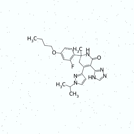 CCCCOc1ccc(C2(C)CC(c3ccn(C(C)C)n3)=C(c3nnc[nH]3)C(=O)N2)c(F)c1